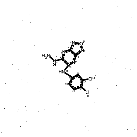 NNc1nc2nonc2nc1Nc1ccc(Cl)c(Cl)c1